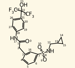 O=C(Cc1cccc(S(=O)(=O)NCC2CC2)c1)Nc1ccc(C(O)(C(F)(F)F)C(F)(F)F)cc1